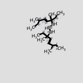 CCC(C)/C=C/C(C)(BBBC(C)(/C=C/C(C)CC)CC)CC